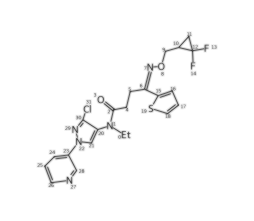 CCN(C(=O)CC/C(=N/OCC1CC1(F)F)c1cccs1)c1cn(-c2cccnc2)nc1Cl